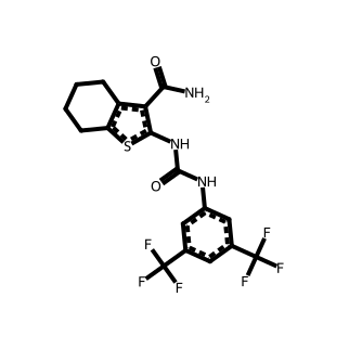 NC(=O)c1c(NC(=O)Nc2cc(C(F)(F)F)cc(C(F)(F)F)c2)sc2c1CCCC2